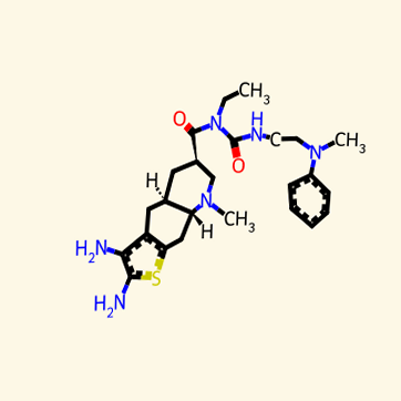 CCN(C(=O)NCCN(C)c1ccccc1)C(=O)[C@@H]1C[C@@H]2Cc3c(sc(N)c3N)C[C@H]2N(C)C1